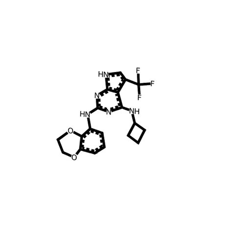 FC(F)(F)c1c[nH]c2nc(Nc3cc[c]c4c3OCCO4)nc(NC3CCC3)c12